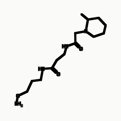 CC1CCCCN1CC(=O)NCCC(=O)NCCCON